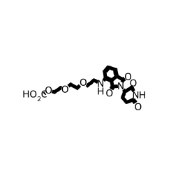 O=C1CCC(N2C(=O)c3cccc(NCCOCCOCCOC(=O)O)c3C2=O)C(=O)N1